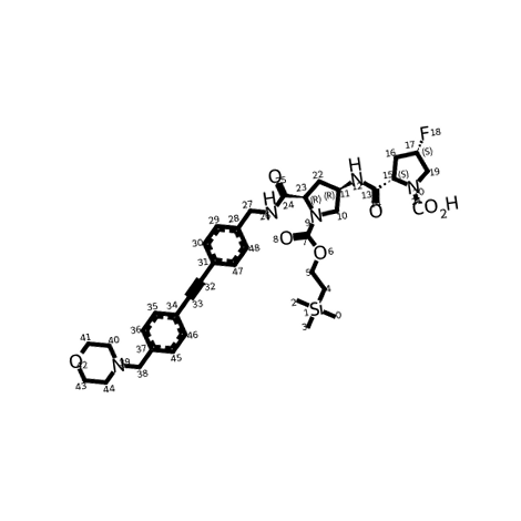 C[Si](C)(C)CCOC(=O)N1C[C@H](NC(=O)[C@@H]2C[C@H](F)CN2C(=O)O)C[C@@H]1C(=O)NCc1ccc(C#Cc2ccc(CN3CCOCC3)cc2)cc1